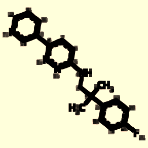 CC(C)(CNc1ccc(-c2cccnc2)nn1)c1ccc(F)cc1